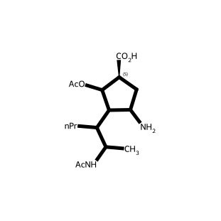 CCCC(C(C)NC(C)=O)C1C(N)C[C@H](C(=O)O)C1OC(C)=O